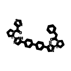 O=C(Cc1ccccc1)N1CCC[C@H]1c1ncc(-c2ccc(-c3ccc(-c4cnc([C@@H]5CCCN5C(=O)c5cscn5)[nH]4)cc3)cc2)[nH]1